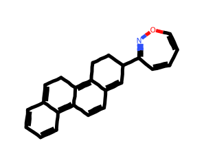 C1=CON=C(C2C=c3ccc4c(c3CC2)CC=c2ccccc2=4)C=C1